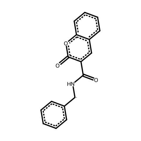 O=C(N[CH]c1ccccc1)c1cc2ccccc2oc1=O